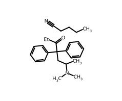 CCC(=O)C(CC(C)N(C)C)(c1ccccc1)c1ccccc1.CCCCC#N